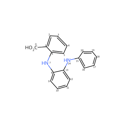 O=C(O)c1ccccc1Nc1ccccc1Nc1ccccc1